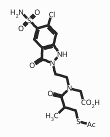 CC(=O)SCC(C)C(=O)N(CCn1[nH]c2cc(Cl)c(S(N)(=O)=O)cc2c1=O)CC(=O)O